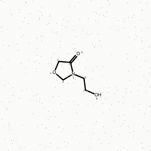 O=C1COCN1CCO